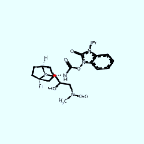 CC(C)n1c(=O)n(OC(=O)N[C@@H]2C[C@H]3CC[C@@H](C2)N3CC(O)CN(C)C=O)c2ccccc21